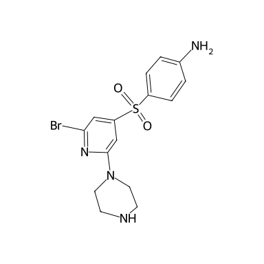 Nc1ccc(S(=O)(=O)c2cc(Br)nc(N3CCNCC3)c2)cc1